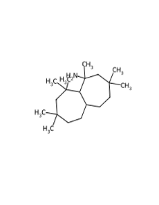 CC1(C)CCC2CCC(C)(C)CC(C)(N)C2C(C)(C)C1